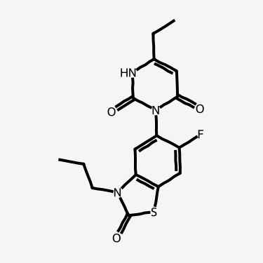 CCCn1c(=O)sc2cc(F)c(-n3c(=O)cc(CC)[nH]c3=O)cc21